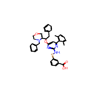 Cc1cccc(C)c1-c1cc(OC(Cc2ccccc2)C2COCCN2Cc2ccccc2)nc(NSc2cccc(C(=O)O)c2)n1